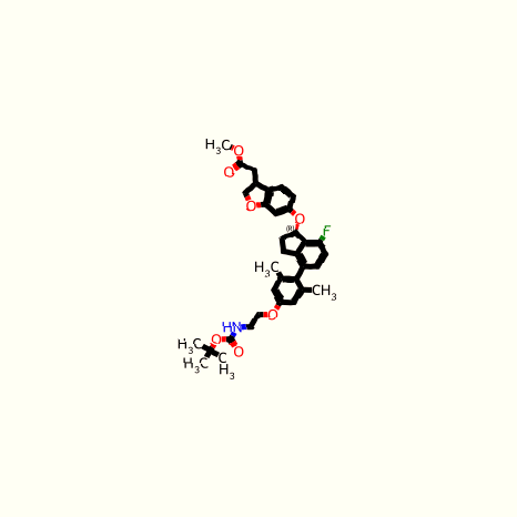 COC(=O)CC1COc2cc(O[C@@H]3CCc4c(-c5c(C)cc(OCCNC(=O)OC(C)(C)C)cc5C)ccc(F)c43)ccc21